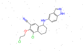 N#Cc1cc2c(c(Cl)c1OCCCl)CCCC2Nc1ccc2[nH]ncc2c1